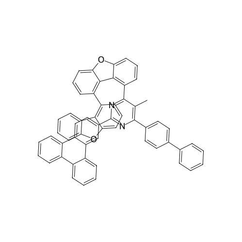 Cc1c(-c2ccc(-c3ccccc3)cc2)nc(-c2ccc3c4ccccc4c4ccccc4c3c2)nc1-c1cccc2oc3cccc(-c4cccc5oc6ccccc6c45)c3c12